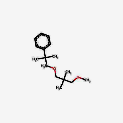 COCC(C)(C)CO[SiH2]C(C)(C)c1ccccc1